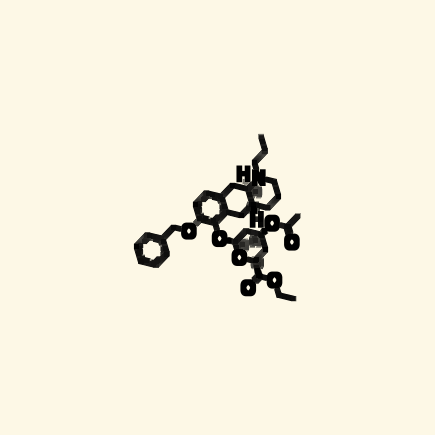 CCCN1CCC[C@@H]2Cc3c(ccc(OCc4ccccc4)c3O[C@H]3C[C@@H](OC(C)=O)C[C@@H](C(=O)OCC)O3)C[C@H]21